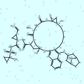 C=C[C@@H]1C[C@]1(NC(=O)[C@@H]1C[C@@H]2CN1C(=O)[C@H](C(C)(C)C)NC(=O)O[C@@H]1C[C@H]1CCCCCc1c(nc3ccccc3c1OC1CC3CCC(C1)N3CC)O2)C(=O)NS(=O)(=O)C1(C)CC1